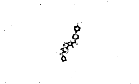 Cc1c(C(=O)N2CCN(c3ccc(F)cc3)CC2)sc2ncn(C(C)C(=O)NC3CCCC3)c(=O)c12